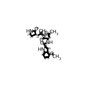 COc1cccc2[nH]c(C(=O)N[C@@H](CC(C)C)C(=O)N[C@H](C)C[C@@H]3CCNC3=O)cc12